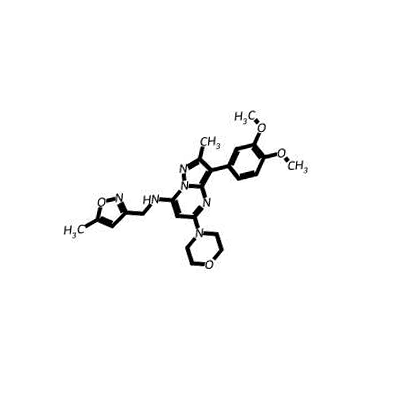 COc1ccc(-c2c(C)nn3c(NCc4cc(C)on4)cc(N4CCOCC4)nc23)cc1OC